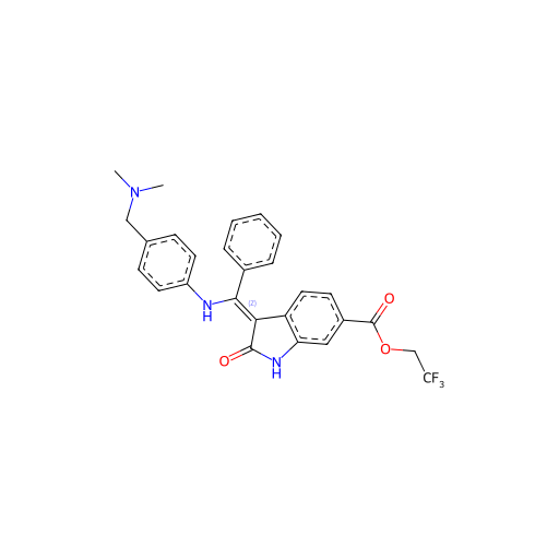 CN(C)Cc1ccc(N/C(=C2\C(=O)Nc3cc(C(=O)OCC(F)(F)F)ccc32)c2ccccc2)cc1